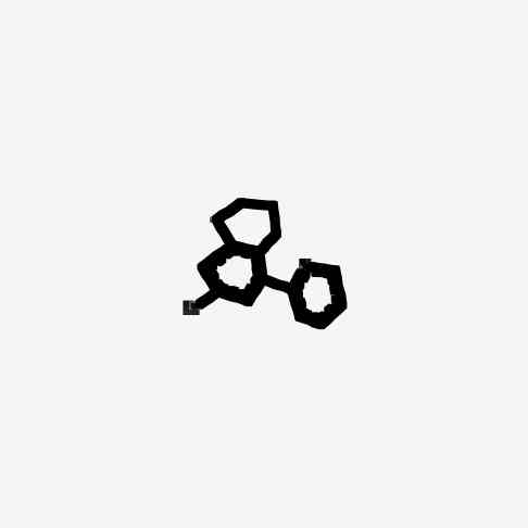 CCc1cc2c(c(-c3ccccn3)c1)CCC[CH]2